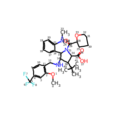 COc1cc(C(F)(F)F)ccc1CNC1C(c2ccccc2N(C)C)N(C(=O)C2CCCCO2)C(C(=O)O)C1C(C)(C)C